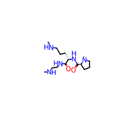 CNCCC[C@H](NC(=O)[C@@H]1CCCN1C)C(=O)NCCNC